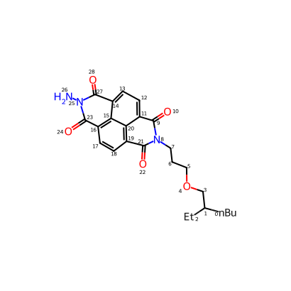 CCCCC(CC)COCCCN1C(=O)c2ccc3c4c(ccc(c24)C1=O)C(=O)N(N)C3=O